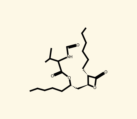 CCCCCC[C@@H]1C(=O)O[C@H]1C[C@H](CCCCC)OC(=O)C(NC=O)C(C)C